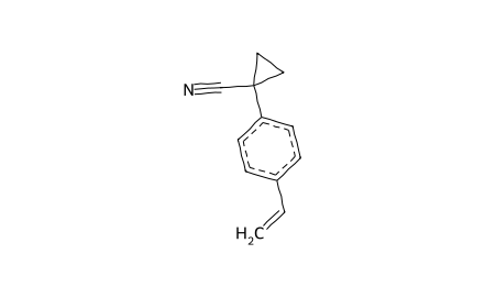 C=Cc1ccc(C2(C#N)CC2)cc1